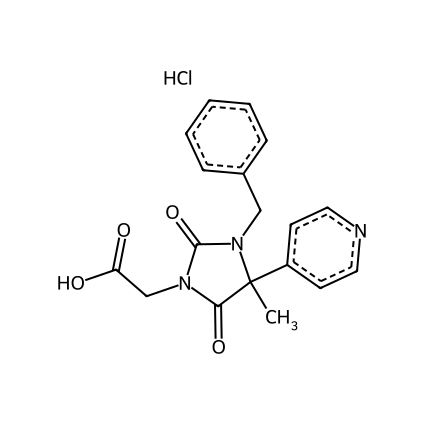 CC1(c2ccncc2)C(=O)N(CC(=O)O)C(=O)N1Cc1ccccc1.Cl